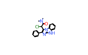 CN(C)C(=O)C(Cl)c1c(-c2ccccc2)nc2[nH]c3ccccc3n12